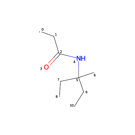 [CH2]CC(=O)NC(C)(CC)CC